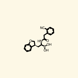 N#Cc1ccccc1CC(=O)NC(C[C@@H]1COc2ccccc21)B(O)O